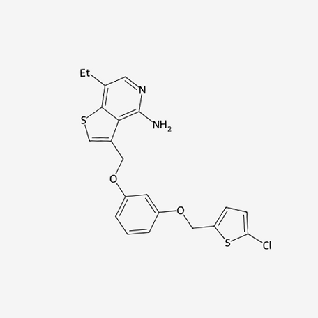 CCc1cnc(N)c2c(COc3cccc(OCc4ccc(Cl)s4)c3)csc12